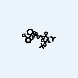 CC(C)C[C@@H](C(=O)OCOC(=O)N(C)[C@]1(c2ccccc2Cl)CCCCC1=O)N(C)C(=O)OC(C)(C)C